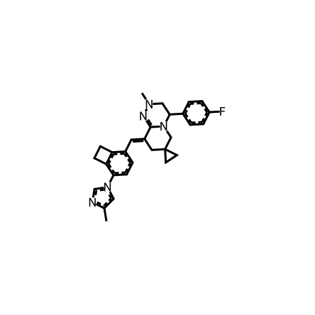 Cc1cn(-c2ccc(/C=C3\CC4(CC4)CN4C3=NN(C)CC4c3ccc(F)cc3)c3c2CC3)cn1